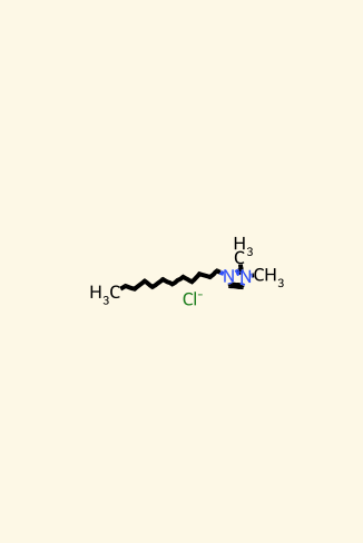 CCCCCCCCCCCC[n+]1ccn(C)c1C.[Cl-]